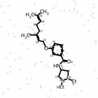 CCN1CC(NC(=O)c2cccc(OCC=C(C)CCC=C(C)C)c2)CN1CC